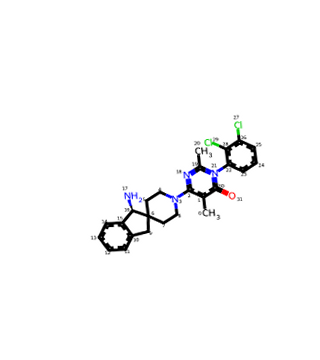 Cc1c(N2CCC3(CC2)Cc2ccccc2[C@H]3N)nc(C)n(-c2cccc(Cl)c2Cl)c1=O